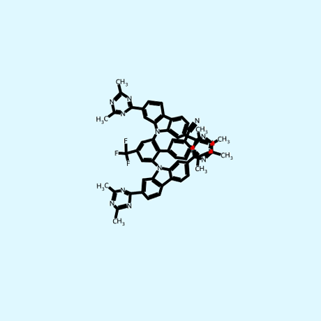 Cc1nc(C)nc(-c2ccc3c4ccc(-c5nc(C)nc(C)n5)cc4n(-c4cc(C(F)(F)F)cc(-n5c6cc(-c7nc(C)nc(C)n7)ccc6c6ccc(-c7nc(C)nc(C)n7)cc65)c4-c4cccc(C#N)c4)c3c2)n1